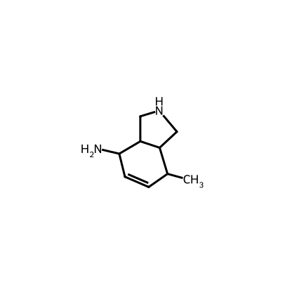 CC1C=CC(N)C2CNCC12